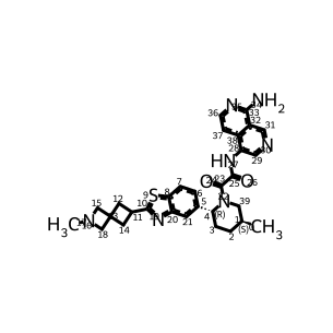 C[C@H]1CC[C@H](c2ccc3sc(C4CC5(C4)CN(C)C5)nc3c2)N(C(=O)C(=O)Nc2cncc3c(N)nccc23)C1